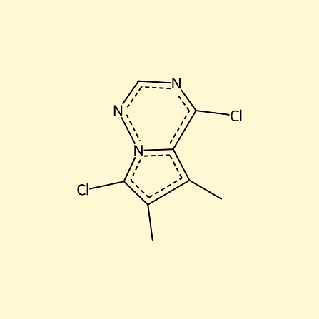 Cc1c(C)c2c(Cl)ncnn2c1Cl